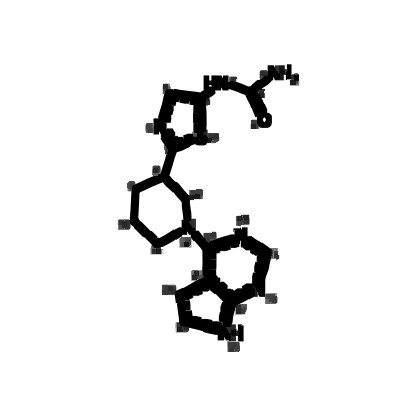 NC(=O)Nc1cnc(C2CCCN(c3ncnc4[nH]ccc34)C2)s1